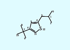 CC(C)Cc1cc(C(C)(C)C)cs1